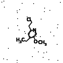 CCc1cc(CCCl)ncc1OC